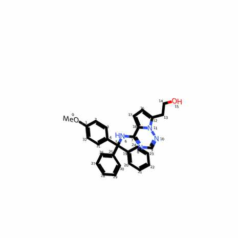 COc1ccc(C(Nc2ncnn3c(CCO)ccc23)(c2ccccc2)c2ccccc2)cc1